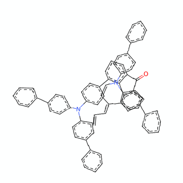 C=C/C=C(\C=C/N(c1ccc(-c2ccccc2)cc1)c1ccc(-c2ccccc2)cc1)c1cccc2c1-c1c(cccc1-c1ccc(N(c3ccc(-c4ccccc4)cc3)c3ccc(-c4ccccc4)cc3)cc1)C2=O